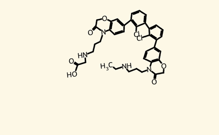 CCNCCCN1C(=O)COc2cc(-c3cccc(-c4cccc(-c5ccc6c(c5)OCC(=O)N6CCCNCC(=O)O)c4Cl)c3Cl)ccc21